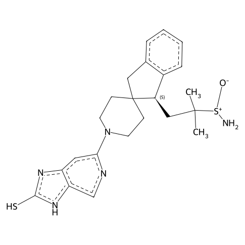 CC(C)(C[C@@H]1c2ccccc2CC12CCN(c1cc3nc(S)[nH]c3cn1)CC2)[S+](N)[O-]